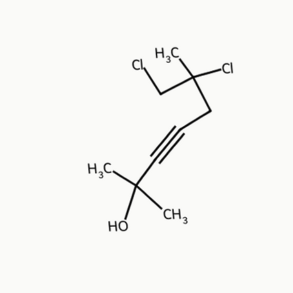 CC(C)(O)C#CCC(C)(Cl)CCl